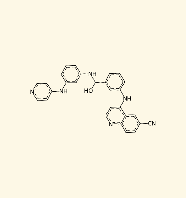 N#Cc1ccc2nccc(Nc3cccc(C(O)Nc4cccc(Nc5ccncc5)c4)c3)c2c1